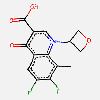 Cc1c(F)c(F)cc2c(=O)c(C(=O)O)cn(C3COC3)c12